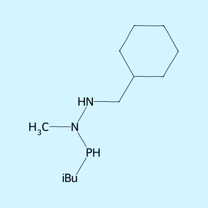 CCC(C)PN(C)NCC1CCCCC1